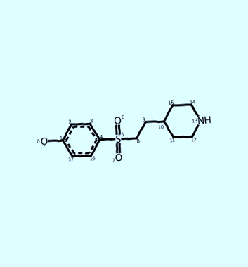 [O]c1ccc(S(=O)(=O)CCC2CCNCC2)cc1